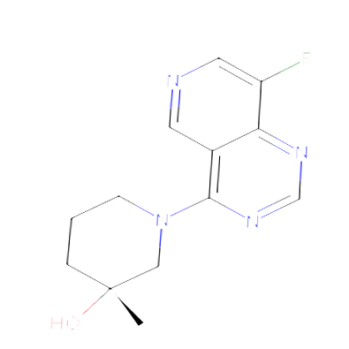 C[C@@]1(O)CCCN(c2ncnc3c(F)cncc23)C1